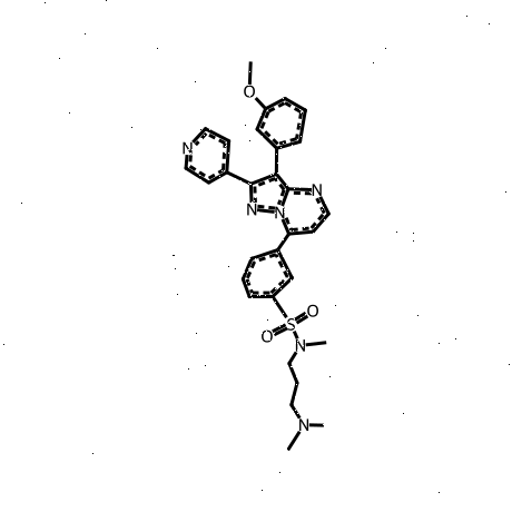 COc1cccc(-c2c(-c3ccncc3)nn3c(-c4cccc(S(=O)(=O)N(C)CCCN(C)C)c4)ccnc23)c1